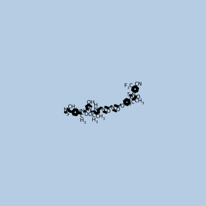 Cc1ncsc1-c1ccc([C@H](C)NC(=O)[C@@H]2C[C@@H](O)CN2C(=O)[C@H]2NC(CN3CCO[C@@H](CN4CCO[C@@H](COc5ccc(N6C(=S)N(c7ccc(C#N)c(C(F)(F)F)c7)C(=O)C6(C)C)cc5)C4)C3)=CC2(C)C)cc1